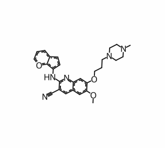 COc1cc2cc(C#N)c(Nc3ccc4cccoc3-4)nc2cc1OCCCN1CCN(C)CC1